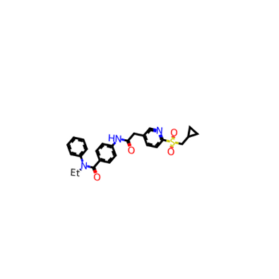 CCN(C(=O)c1ccc(NC(=O)Cc2ccc(S(=O)(=O)CC3CC3)nc2)cc1)c1ccccc1